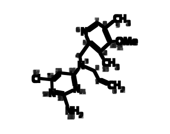 C=CCN(Cc1ncc(C)c(OC)c1C)c1cc(Cl)nc(N)n1